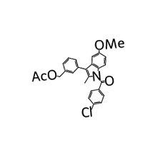 COc1ccc2c(c1)c(-c1cccc(COC(C)=O)c1)c(C)n2C(=O)c1ccc(Cl)cc1